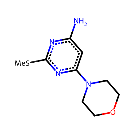 CSc1nc(N)cc(N2CCOCC2)n1